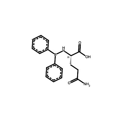 NC(=O)CC[C@H](NB(c1cc[c]cc1)c1ccccc1)C(=O)O